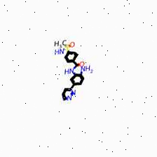 CS(=N)(=O)c1ccc(C(=O)Nc2cc(-c3cccnn3)ccc2N)cc1